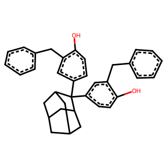 Oc1ccc(C2(c3ccc(O)c(Cc4ccccc4)c3)C3CC4CC(C3)CC2C4)cc1Cc1ccccc1